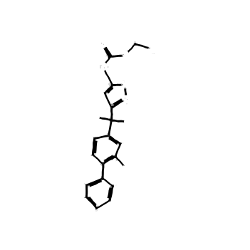 CC(C)(c1ccc(-c2ccccc2)c(F)c1)c1cc(NC(=N)NCC(=O)O)on1